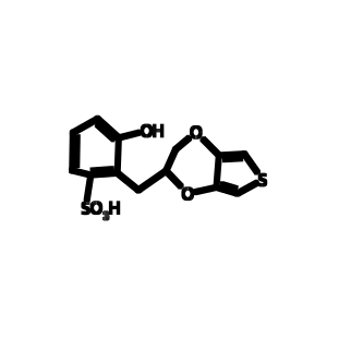 O=S(=O)(O)c1cccc(O)c1CC1COc2cscc2O1